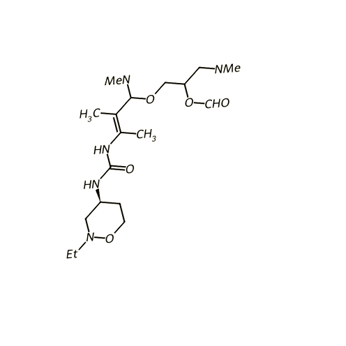 CCN1C[C@@H](NC(=O)N/C(C)=C(\C)C(NC)OCC(CNC)OC=O)CCO1